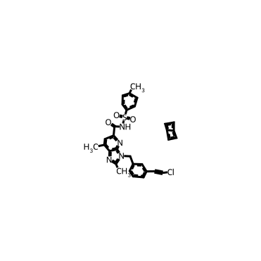 Cc1ccc(S(=O)(=O)NC(=O)c2cc(C)c3nc(C)n(Cc4cccc(C#CCl)c4)c3n2)cc1.c1cc2ccc1-2